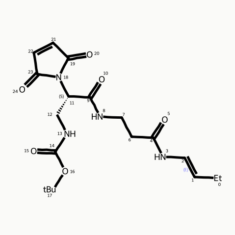 CC/C=C/NC(=O)CCNC(=O)[C@H](CNC(=O)OC(C)(C)C)N1C(=O)C=CC1=O